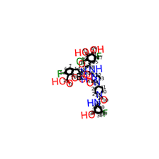 O=C(O)c1c(F)ccc2c1OB(O)[C@@H](NC(=O)C(NC(=O)N1CCN(C3CCN(C(=O)Nc4cc(O)cc(F)c4)CC3)C1=O)c1cc(F)c(O)c(O)c1Cl)C2